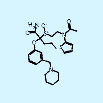 CCCC(Oc1cccc(CN2CCCCC2)c1)(C(N)=O)[S+]([O-])CCN(C(C)=O)c1cccs1